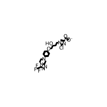 O=[N+]([O-])c1cn(CCC(O)COc2ccc(N3CCn4c(nnc4C(F)(F)F)C3)cc2)c(Cl)n1